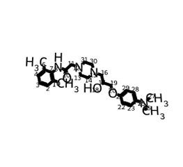 Cc1cccc(C)c1NC(=O)CN1CCN(CC(O)COc2ccc(N(C)C)cc2)CC1